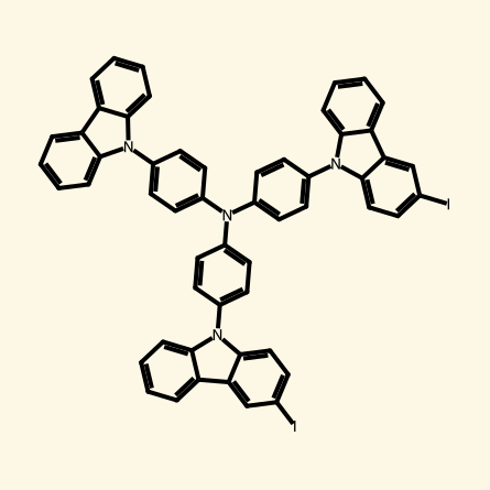 Ic1ccc2c(c1)c1ccccc1n2-c1ccc(N(c2ccc(-n3c4ccccc4c4ccccc43)cc2)c2ccc(-n3c4ccccc4c4cc(I)ccc43)cc2)cc1